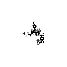 C[C@]1(C2CC2N)COc2c1cc(C(O)(CNC(=O)c1ccc3c(c1)NC(=O)CO3)C(F)(F)F)nc2-c1ccc(F)cc1